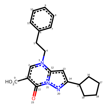 O=C(O)c1cn(CCc2ccccc2)c2cc(C3CCCC3)nn2c1=O